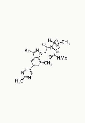 CNC(=O)[C@@H]1C[C@@]2(C)C[C@H]2N1C(=O)Cn1nc(C(C)=O)c2cc(-c3cnc(C)nc3)cc(C)c21